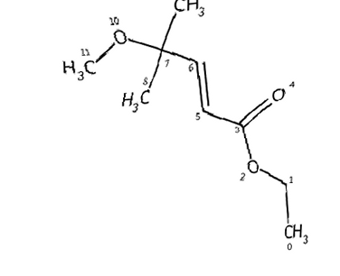 CCOC(=O)/C=C/C(C)(C)OC